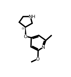 COc1cc(O[C@H]2CCNC2)cc(C)n1